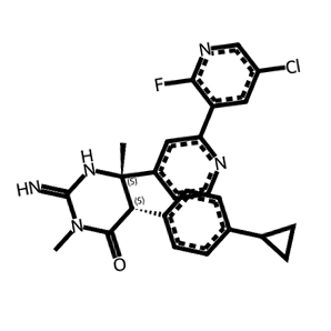 CN1C(=N)N[C@](C)(c2ccnc(-c3cc(Cl)cnc3F)c2)[C@H](c2ccc(C3CC3)cc2)C1=O